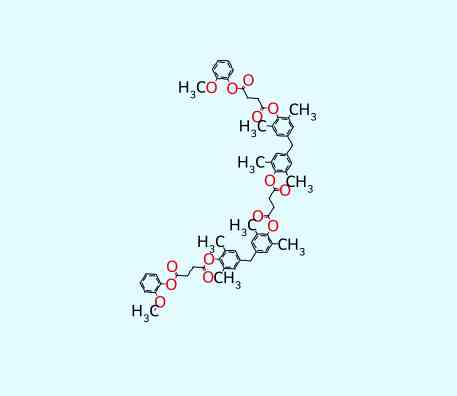 COc1ccccc1OC(=O)CCC(=O)Oc1c(C)cc(Cc2cc(C)c(OC(=O)CCC(=O)Oc3c(C)cc(Cc4cc(C)c(OC(=O)CCC(=O)Oc5ccccc5OC)c(C)c4)cc3C)c(C)c2)cc1C